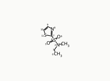 CCN(C)S(=O)(=O)c1nccs1